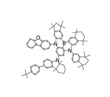 CC(C)(C)c1ccc(-c2ccc3c(c2)C2(C)CCCCC2(C)N3c2cc3c4c(c2)N(c2ccc5c(c2)oc2ccccc25)c2cc5c(cc2B4c2cc4c(cc2N3c2ccc3c(c2)C(C)(C)CCC3(C)C)C(C)(C)CCC4(C)C)C(C)(C)CC5(C)C)cc1